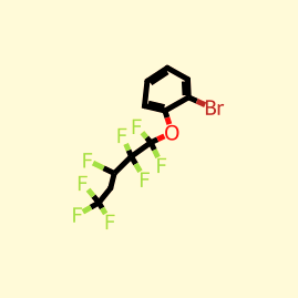 FC(CC(F)(F)F)C(F)(F)C(F)(F)Oc1ccccc1Br